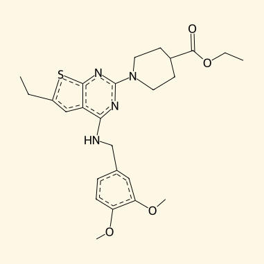 CCOC(=O)C1CCN(c2nc(NCc3ccc(OC)c(OC)c3)c3cc(CC)sc3n2)CC1